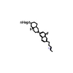 C/C=C/CCc1ccc2cc([C@@H]3CC[C@@H]4CC(CCCCCCC)CCC4C3)cc(F)c2c1